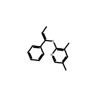 C/C=C(\Sc1ncc(C)cc1C)c1ccccc1